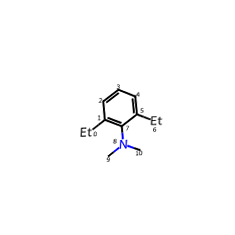 CCc1cccc(CC)c1N(C)C